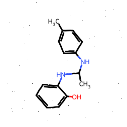 Cc1ccc(NC(C)Nc2ccccc2O)cc1